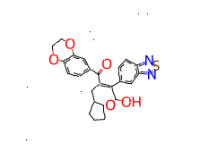 O=C(O)/C(=C(\CC1CCCC1)C(=O)c1ccc2c(c1)OCCO2)c1ccc2nsnc2c1